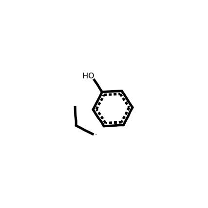 Oc1ccccc1.[CH2]CC